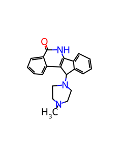 CN1CCN(C2c3ccccc3-c3[nH]c(=O)c4ccccc4c32)CC1